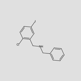 Clc1ccc(I)cc1CNCc1ccccc1